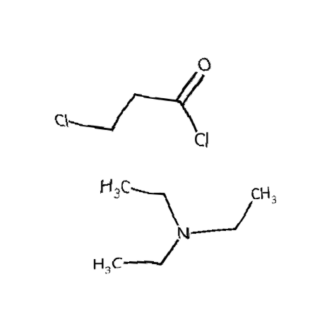 CCN(CC)CC.O=C(Cl)CCCl